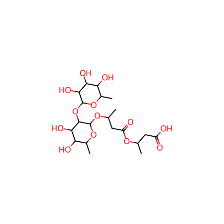 CC(CC(=O)O)OC(=O)CC(C)OC1OC(C)C(O)C(O)C1OC1OC(C)C(O)C(O)C1O